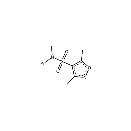 Cc1noc(C)c1S(=O)(=O)N(C)C(C)C